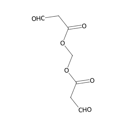 O=CCC(=O)OCOC(=O)CC=O